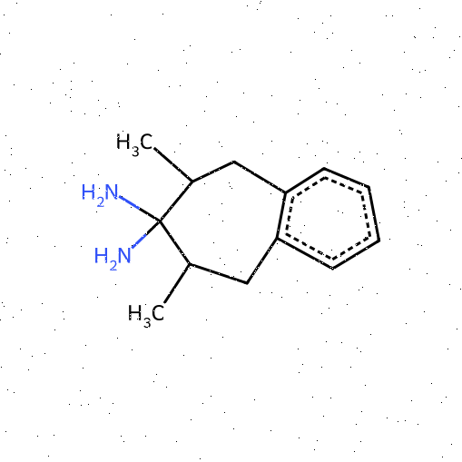 CC1Cc2ccccc2CC(C)C1(N)N